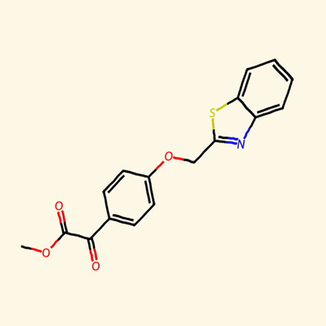 COC(=O)C(=O)c1ccc(OCc2nc3ccccc3s2)cc1